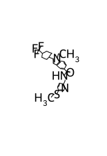 CCSc1ccc(CNC(=O)c2ccc3c(c2)cc(C2CCC(C(F)(F)F)CC2)n3CC)nc1